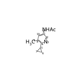 CC(=O)Nc1cnc(C2CC2)c(C)c1